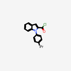 CC(C)c1ccc(-n2c(C(=O)Cl)cc3ccccc32)cc1